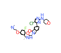 C[C@H](C(=O)N[C@H](C)c1cc(F)cc(OCCN(C)C)c1)N1Cc2ccc(-c3nc(NC4CCOCC4)ncc3Cl)cc2C1=O